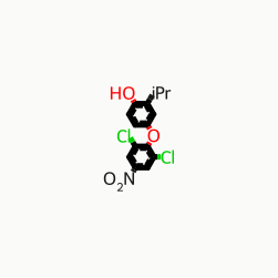 CC(C)c1cc(Oc2c(Cl)cc([N+](=O)[O-])cc2Cl)ccc1O